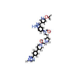 CC(C)Oc1ccc(-c2n[nH]c3ccc(N(C=O)CC[C@@H]4CCN(CC(=O)N5CC=C(c6ccc(-c7ncn(C)n7)cc6)CC5)C4)cc23)cn1